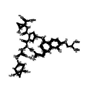 CC[C@@H]1C[C@]1(NC(=O)[C@@H]1C[C@@H](Oc2cc(C=C(C)C)nc3c(Cl)c(OCC(OC)OC)ccc23)CN1C(=O)[C@@H](NC(=O)O[C@@H]1C[C@@H]2C[C@@H]2C1)C(C)(C)C)C(=O)OC